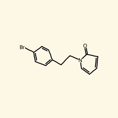 O=c1ccccn1CCc1ccc(Br)cc1